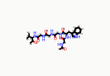 CC(=O)NCC(=O)NC(Cc1c[nH]c2ccccc12)C(=O)NCC(=O)NCC(=O)NCC(=O)NC(C(C)=O)C(C)C